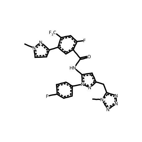 Cn1ccc(-c2cc(C(=O)Nc3cc(Cc4nnnn4C)nn3-c3ccc(F)cc3)c(F)cc2C(F)(F)F)n1